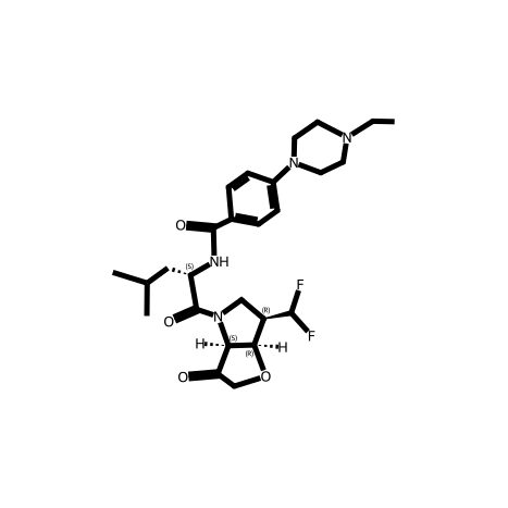 CCN1CCN(c2ccc(C(=O)N[C@@H](CC(C)C)C(=O)N3C[C@@H](C(F)F)[C@H]4OCC(=O)[C@H]43)cc2)CC1